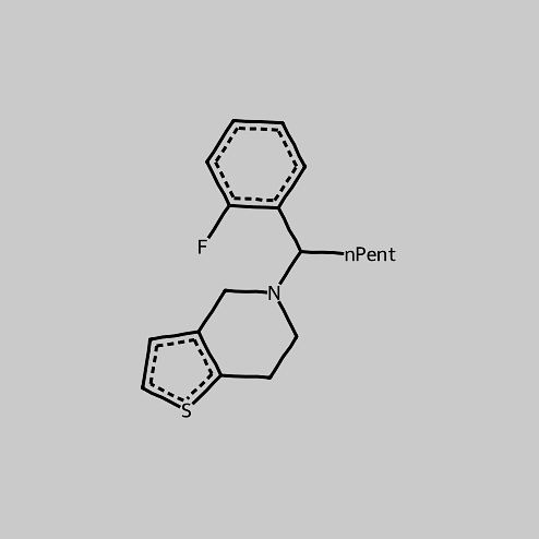 CCCCCC(c1ccccc1F)N1CCc2sccc2C1